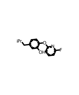 CC(C)Cc1ccc(Oc2cccc(F)n2)c(O)c1